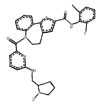 Cc1cccc(F)c1NC(=O)c1cc2c(s1)-c1ccccc1N(C(=O)c1cccc(NCC3CCC[S+]3[O-])n1)CC2